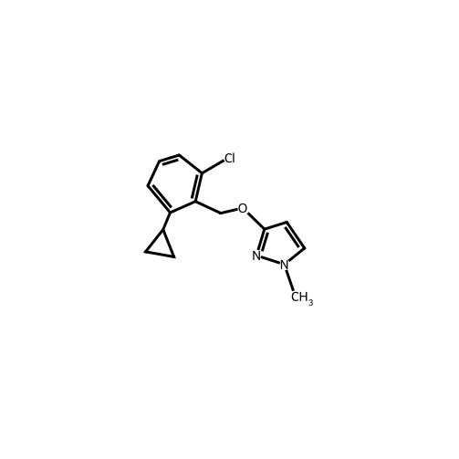 Cn1ccc(OCc2c(Cl)cccc2C2CC2)n1